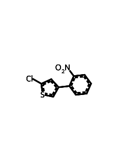 O=[N+]([O-])c1ccccc1-c1csc(Cl)c1